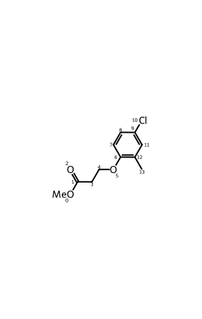 COC(=O)CCOc1ccc(Cl)cc1C